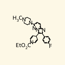 CCOC(=O)N1C=CC(c2c(-c3ccc(F)cc3)nc3ccc(N4CCN(C)CC4)nn23)C=C1